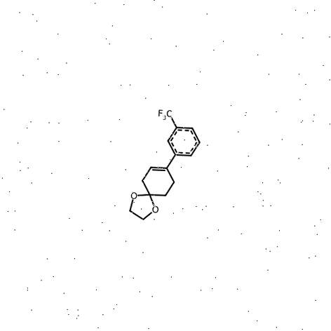 FC(F)(F)c1cccc(C2=CCC3(CC2)OCCO3)c1